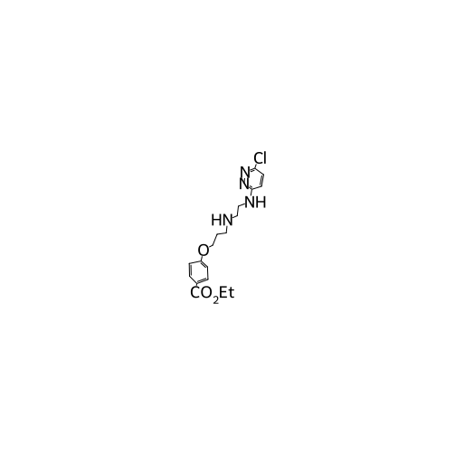 CCOC(=O)c1ccc(OCCCNCCNc2ccc(Cl)nn2)cc1